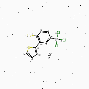 Sc1ccc(C(Cl)(Cl)Cl)cc1-c1cccs1.[Zn]